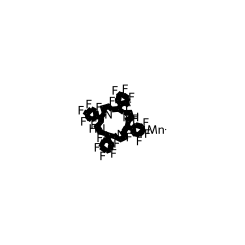 Fc1c(F)c(F)c(-c2c3nc(c(-c4c(F)c(F)c(F)c(F)c4F)c4ccc([nH]4)c(-c4c(F)c(F)c(F)c(F)c4F)c4nc(c(-c5c(F)c(F)c(F)c(F)c5F)c5ccc2[nH]5)C=C4)C=C3)c(F)c1F.[Mn]